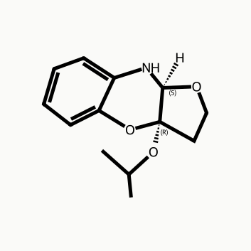 CC(C)O[C@@]12CCO[C@@H]1Nc1ccccc1O2